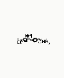 CCN(CC)c1ccc(CCc2ccc(CC(=O)NN)cc2)cc1.Cl.Cl